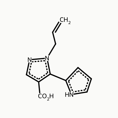 C=CCn1ncc(C(=O)O)c1-c1ccc[nH]1